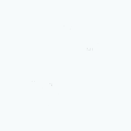 O=C(O)c1ccccc1S(=O)(=O)NCCCCCN1C(=O)c2cccc3cccc(c23)C1=O